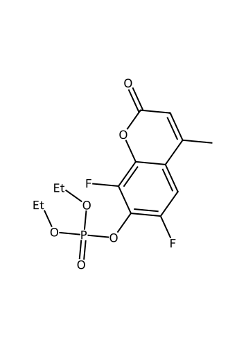 CCOP(=O)(OCC)Oc1c(F)cc2c(C)cc(=O)oc2c1F